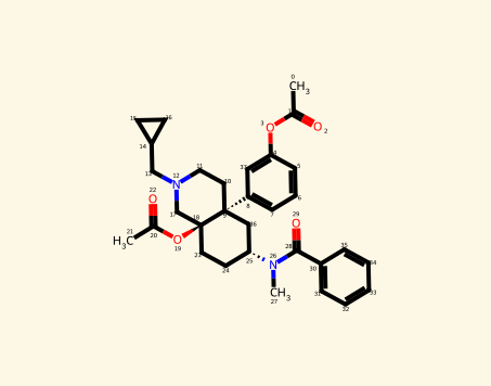 CC(=O)Oc1cccc([C@@]23CCN(CC4CC4)C[C@@]2(OC(C)=O)CC[C@@H](N(C)C(=O)c2ccccc2)C3)c1